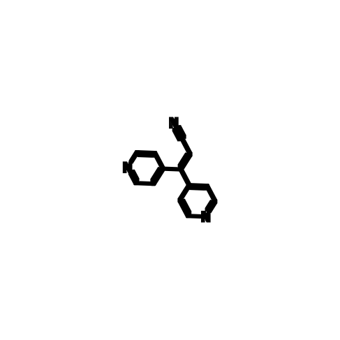 N#CC=C(c1ccncc1)c1ccncc1